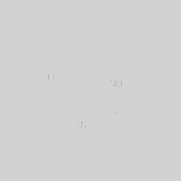 Cn1c(=O)c(C(=O)Nc2ccccc2)c(O)c2ccccc21